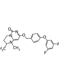 CC1CCn2c(cc(OCc3ccc(Oc4cc(F)cc(F)c4)cc3)nc2=O)N1C